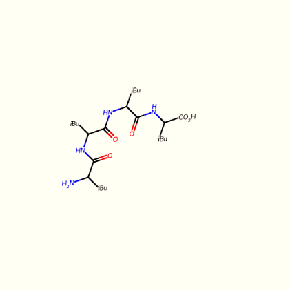 CCC(C)C(N)C(=O)NC(C(=O)NC(C(=O)NC(C(=O)O)C(C)CC)C(C)CC)C(C)CC